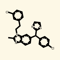 Cc1nc2ccc(C(c3ccc(Cl)cc3)c3nccs3)cc2n1CCc1cccc(Cl)c1